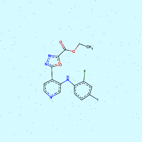 CCOC(=O)c1nnc(-c2ccncc2Nc2ccc(I)cc2F)o1